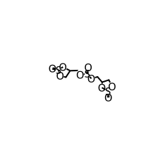 O=S(OCC1COS(=O)O1)OCC1COS(=O)O1